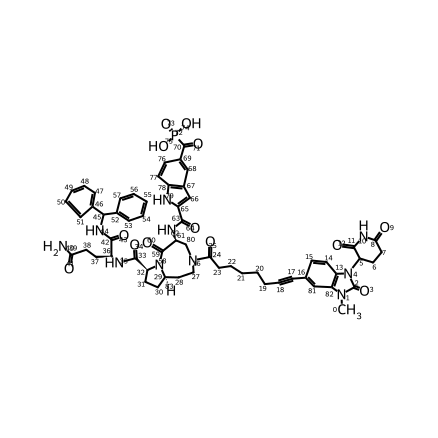 Cn1c(=O)n(C2CCC(=O)NC2=O)c2ccc(C#CCCCCCC(=O)N3CC[C@H]4CC[C@@H](C(=O)N[C@@H](CCC(N)=O)C(=O)NC(c5ccccc5)c5ccccc5)N4C(=O)[C@@H](NC(=O)c4cc5cc(C(=O)P(=O)(O)O)ccc5[nH]4)C3)cc21